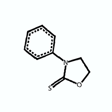 S=C1OCCN1c1ccccc1